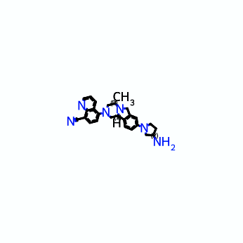 C[C@@H]1CN(c2ccc(C#N)c3ncccc23)C[C@@H]2c3ccc(N4CC[C@@H](N)C4)cc3CN12